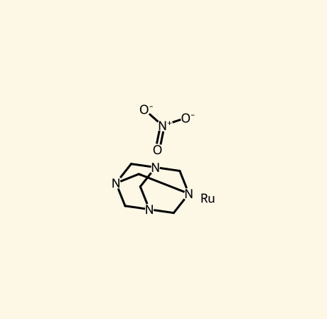 C1N2CN3CN1CN(C2)C3.O=[N+]([O-])[O-].[Ru]